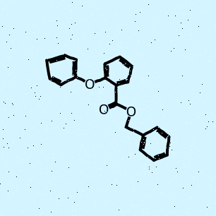 O=C(OCc1ccccc1)c1ccccc1Oc1ccccc1